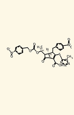 C[C@@H](OC(=O)OCc1ccc([N+](=O)[O-])cc1)C1C(=O)N2C(C(=O)O)=C(Sc3nnnn3C)C(Cc3ccc([N+](=O)[O-])cc3)[C@H]12